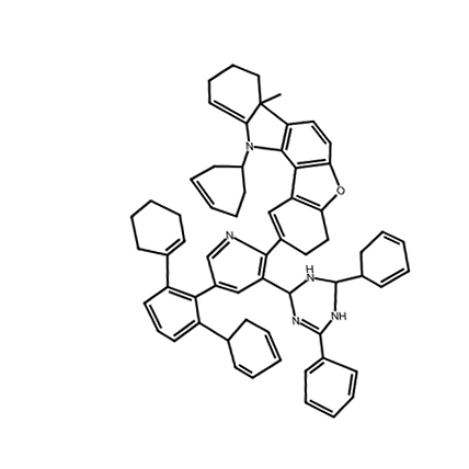 CC12CCCC=C1N(C1CC=CCC1)c1c2ccc2oc3c(c12)C=C(c1ncc(-c2c(C4=CCCCC4)cccc2C2C=CC=CC2)cc1C1N=C(c2ccccc2)NC(C2C=CC=CC2)N1)CC3